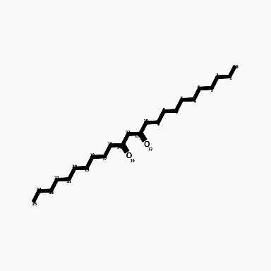 CCCCCCCCCCCC(=O)CC(=O)CCCCCCCCCC